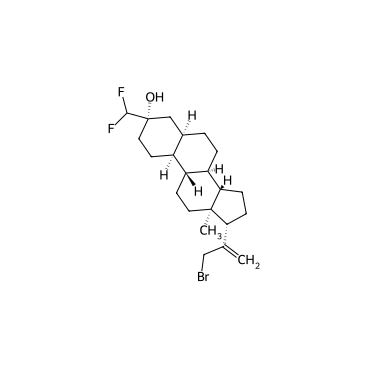 C=C(CBr)[C@H]1CC[C@H]2[C@@H]3CC[C@@H]4C[C@](O)(C(F)F)CC[C@@H]4[C@H]3CC[C@]12C